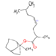 CC(C)C/C=C\CC(C)C(=O)OC1(C)CC2CCC1C2